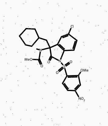 COC(=O)N(C)C1(CC2CCCCC2)C(=O)N(S(=O)(=O)c2ccc([N+](=O)[O-])cc2OC)c2ccc(Cl)cc21